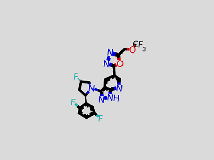 Fc1ccc(F)c([C@H]2C[C@H](F)CN2c2n[nH]c3ncc(-c4nnc(COC(F)(F)F)o4)cc23)c1